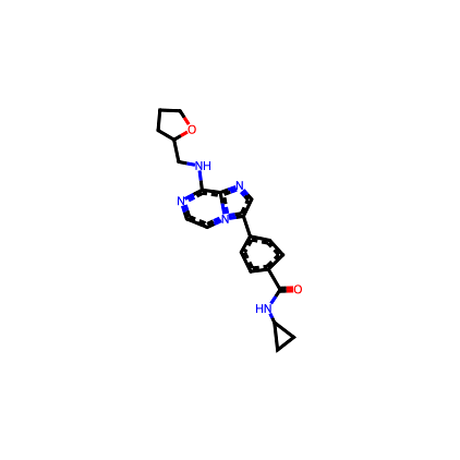 O=C(NC1CC1)c1ccc(-c2cnc3c(NCC4CCCO4)nccn23)cc1